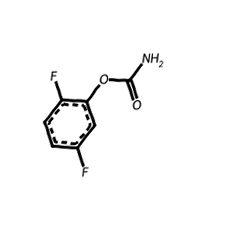 NC(=O)Oc1cc(F)ccc1F